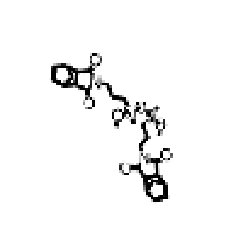 CO[Si](C)(CCCN1C(=O)C2C3C=CC(C3)C2C1=O)O[Si](C)(CCCN1C(=O)C2C3C=CC(C3)C2C1=O)OC